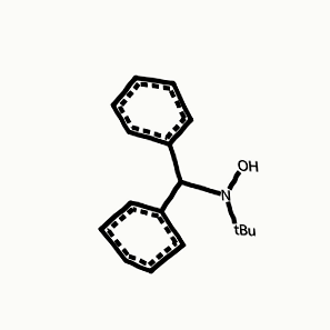 CC(C)(C)N(O)C(c1ccccc1)c1ccccc1